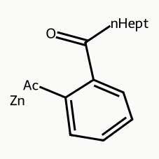 CCCCCCCC(=O)c1ccccc1C(C)=O.[Zn]